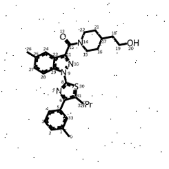 Cc1cccc(-c2nc(-n3nc(C(=O)N4CCC(CCO)CC4)c4cc(C)ccc43)sc2C(C)C)c1